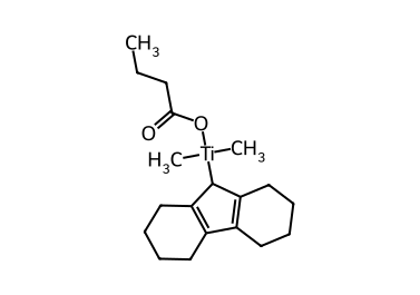 CCCC(=O)[O][Ti]([CH3])([CH3])[CH]1C2=C(CCCC2)C2=C1CCCC2